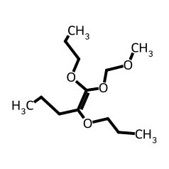 CCCOC(CCC)=C(OCCC)OCOC